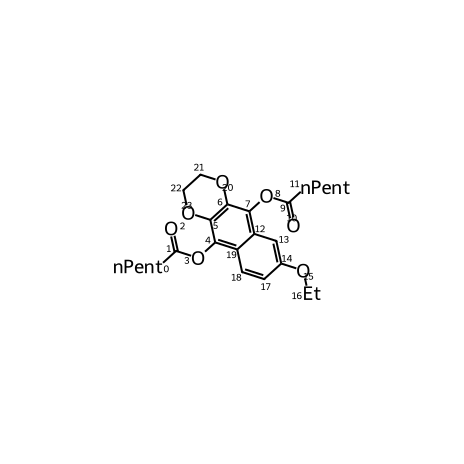 CCCCCC(=O)Oc1c2c(c(OC(=O)CCCCC)c3cc(OCC)ccc13)OCCO2